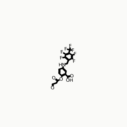 O=CCC(=O)Oc1ccc(NCc2c(F)c(F)c(C(F)(F)F)c(F)c2F)cc1C(=O)O